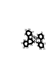 c1ccc2c(c1)B1N(c3ccccc3-2)c2cc3ccccc3c3c4ccccc4n1c23